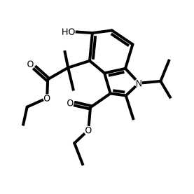 CCOC(=O)c1c(C)n(C(C)C)c2ccc(O)c(C(C)(C)C(=O)OCC)c12